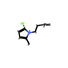 CCCCCCCn1cccc1C.F